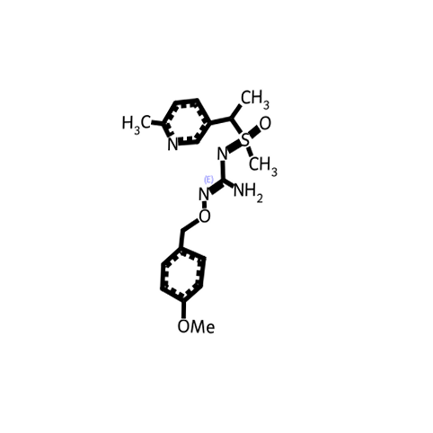 COc1ccc(CO/N=C(\N)N=S(C)(=O)C(C)c2ccc(C)nc2)cc1